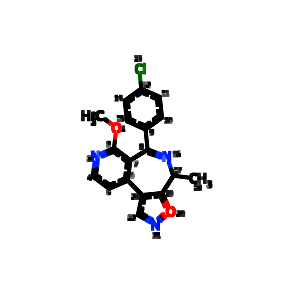 COc1nccc2c1C(c1ccc(Cl)cc1)=NC(C)c1oncc1-2